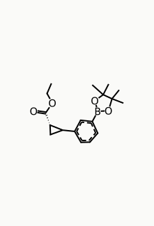 CCOC(=O)[C@H]1CC1c1cccc(B2OC(C)(C)C(C)(C)O2)c1